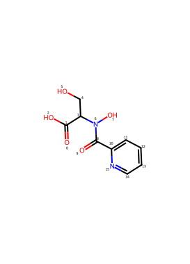 O=C(O)C(CO)N(O)C(=O)c1ccccn1